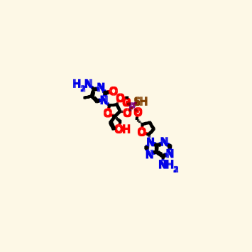 C=C[C@]1(CO)O[C@@H](n2cc(C)c(N)nc2=O)[C@H](OC)[C@@H]1OP(=O)(S)OC[C@@H]1CC[C@H](n2cnc3c(N)ncnc32)O1